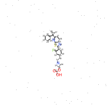 O=C(O)OC1CN(CCc2ccc(-c3nc4ccc(C5(c6ccccc6)CC5)nc4s3)c(F)c2)C1